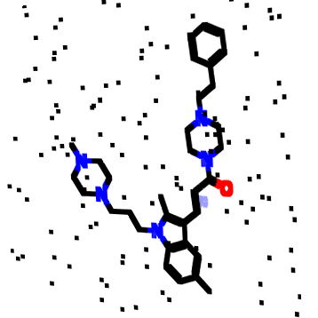 Cc1ccc2c(c1)c(/C=C/C(=O)N1CCN(CCc3ccccc3)CC1)c(C)n2CCCN1CCN(C)CC1